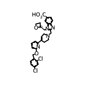 O=C(O)c1ccc2nc(CN3CC=C(c4cccc(OCc5ccc(Cl)cc5Cl)n4)CC3)n(C[C@@H]3CCO3)c2c1